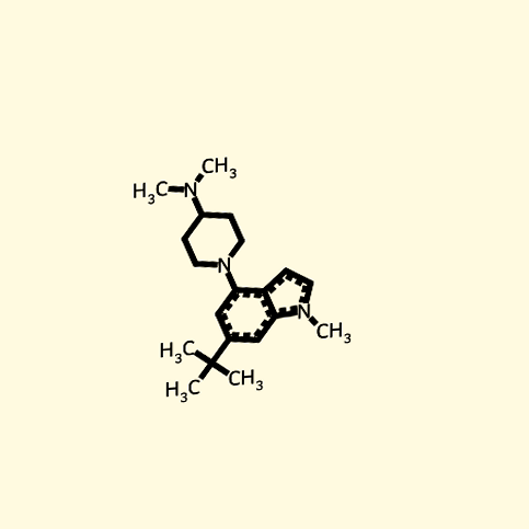 CN(C)C1CCN(c2cc(C(C)(C)C)cc3c2ccn3C)CC1